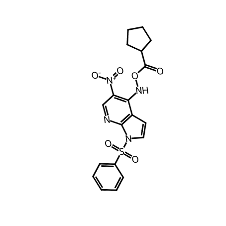 O=C(ONc1c([N+](=O)[O-])cnc2c1ccn2S(=O)(=O)c1ccccc1)C1CCCC1